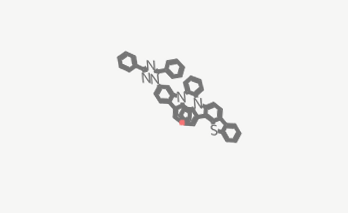 c1ccc(-c2nc(-c3ccccc3)n(-c3ccc4c5ccccc5n(-c5ccccc5-n5c6ccccc6c6c7sc8ccccc8c7ccc65)c4c3)n2)cc1